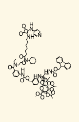 CCN(CCON(C(=O)CCCCCCNc1c(Nc2ccncc2)c(=O)c1=O)C1CCCCC1)C(=O)c1cccc(NC(=O)OCc2ccc(O[C@@H]3O[C@H](C(=O)OC)[C@@H](OC(C)=O)[C@H](OC(C)=O)[C@H]3OC(C)=O)c(NC(=O)CCNC(=O)OCC3c4ccccc4-c4ccccc43)c2)c1